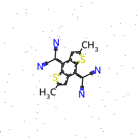 Cc1cc2c(=C(C#N)C#N)c3sc(C)cc3c(=C(C#N)C#N)c2s1